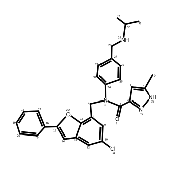 Cc1cc(C(=O)N(Cc2cc(Cl)cc3cc(-c4ccccc4)oc23)c2ccc(CNC(C)C)cc2)n[nH]1